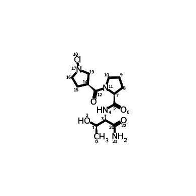 C[C@@H](O)[C@H](NC(=O)[C@@H]1CCCN1C(=O)[C@H]1CCN(Cl)C1)C(N)=O